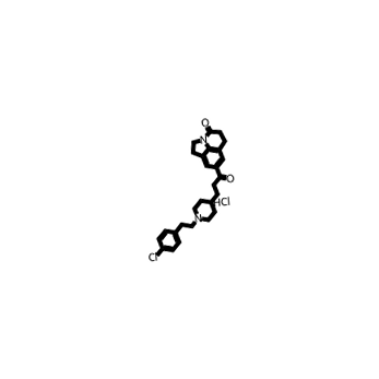 Cl.O=C(CCC1CCN(CCc2ccc(Cl)cc2)CC1)c1cc2c3c(c1)CCN3C(=O)CC2